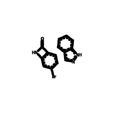 O=C1Nc2cc(Br)ccc21.c1ccc2[nH]ncc2c1